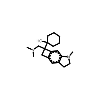 CN(C)CC1(C2(O)CCCCC2)Cc2cc3c(cc21)N(C)CC3